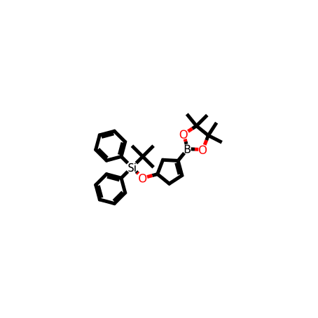 CC1(C)OB(C2=CCC(O[Si](c3ccccc3)(c3ccccc3)C(C)(C)C)C2)OC1(C)C